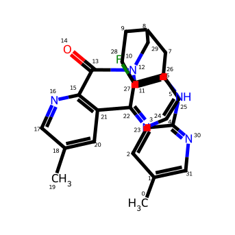 Cc1ccc(NC2CC3CCC2N(C(=O)c2ncc(C)cc2-c2ncccc2F)C3)nc1